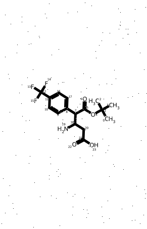 CC(C)(C)OC(=O)C(c1ccc(C(F)(F)F)cc1)C(N)CC(=O)O